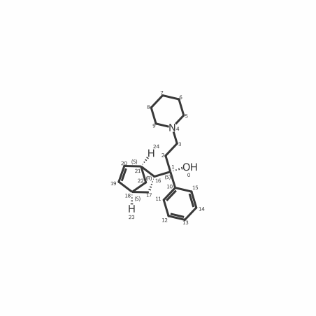 O[C@](CCN1CCCCC1)(c1ccccc1)[C@@H]1C[C@H]2C=C[C@@H]1C2